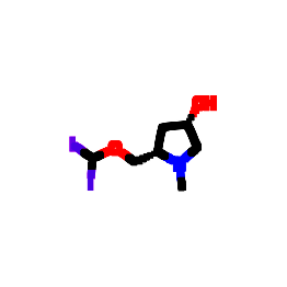 CN1C[C@@H](O)C[C@H]1COC(I)I